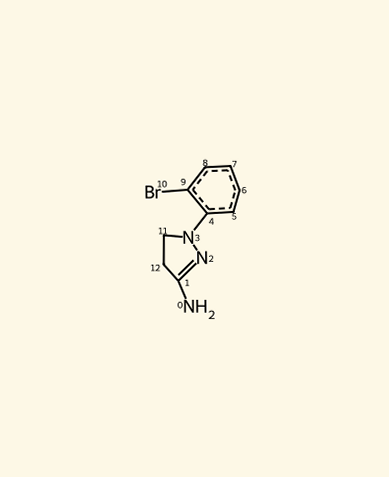 NC1=NN(c2ccccc2Br)CC1